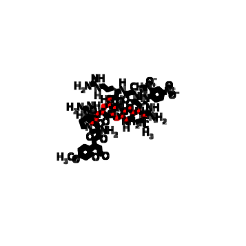 COc1ccc2c(CC(=O)[C@](N)(CCCNC(=N)N)C(=O)N3CCC[C@H]3C(=O)N[C@@H](CC(C)C)C(=O)NCC(=O)N[C@@H](CC(C)C)C(=O)N[C@@H](CNc3ccc([N+](=O)[O-])cc3[N+](=O)[O-])C(=O)N[C@@H](C)C(=O)N[C@@H](CCCNC(=N)N)C(=O)N[C@@H](CCC(=O)O)C(=O)N[C@@H](CCCNC(=N)N)C(N)=O)cc(=O)oc2c1